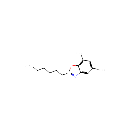 CCCCCCCCCCCCCCC[13c]1nc2cc(C(C)(C)C)cc(C(C)(C)C)c2o1